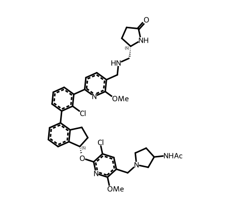 COc1nc(-c2cccc(-c3cccc4c3CC[C@@H]4Oc3nc(OC)c(CN4CCC(NC(C)=O)C4)cc3Cl)c2Cl)ccc1CNC[C@@H]1CCC(=O)N1